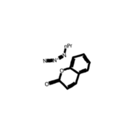 CCCN=[N+]=[N-].O=c1ccc2ccccc2o1